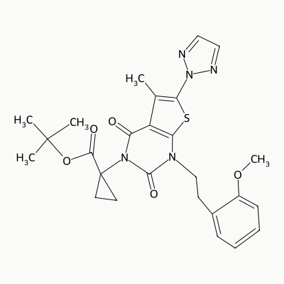 COc1ccccc1CCn1c(=O)n(C2(C(=O)OC(C)(C)C)CC2)c(=O)c2c(C)c(-n3nccn3)sc21